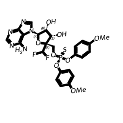 COc1ccc(OP(=S)(OC[C@@]2(C(F)F)O[C@@H](n3cnc4ncnc(N)c43)[C@H](O)[C@@H]2O)Oc2ccc(OC)cc2)cc1